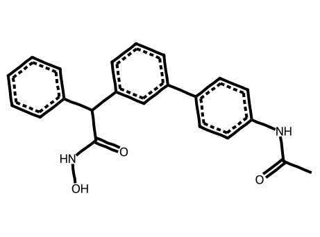 CC(=O)Nc1ccc(-c2cccc(C(C(=O)NO)c3ccccc3)c2)cc1